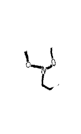 [CH2]CN(OC)OC